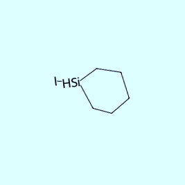 I[SiH]1CCCCC1